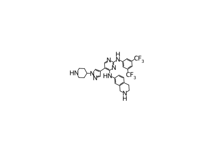 FC(F)(F)c1cc(Nc2ncc(-c3cnn(C4CCNCC4)c3)c(Nc3ccc4c(c3)CNCC4)n2)cc(C(F)(F)F)c1